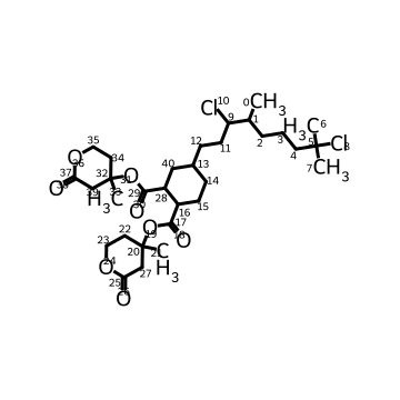 CC(CCCC(C)(C)Cl)C(Cl)CCC1CCC(C(=O)OC2(C)CCOC(=O)C2)C(C(=O)OC2(C)CCOC(=O)C2)C1